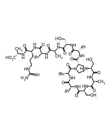 CC[C@H](C)[C@H](NC(=O)[C@@H](NC(=O)[C@H](CO)NC(=O)[C@H](C)NC(=O)[C@@H](N)CO)C(C)C)C(=O)N1CCC[C@H]1C(=O)N[C@H](C(=O)N[C@@H](CO)C(=O)N[C@@H](C)C(=O)N[C@H](C(=O)N[C@@H](CCCNC(=N)N)C(=O)N[C@@H](C)C(=O)O)C(C)C)C(C)C